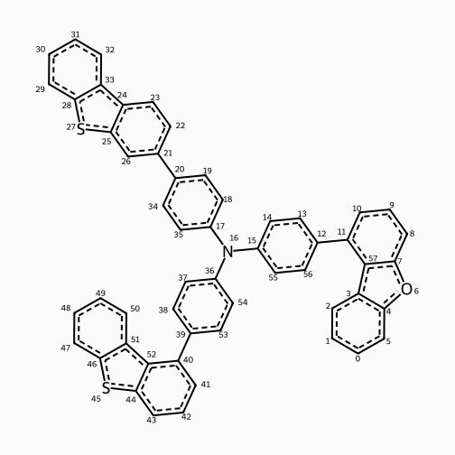 c1ccc2c(c1)oc1cccc(-c3ccc(N(c4ccc(-c5ccc6c(c5)sc5ccccc56)cc4)c4ccc(-c5cccc6sc7ccccc7c56)cc4)cc3)c12